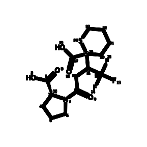 O=C(O)[C@@H]1CCCN1C(=O)CC(C(F)(F)F)S1(C(=O)O)CCCCS1